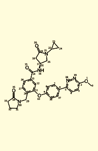 COc1ccc(-c2ccc(Oc3cc(C(=O)N[C@H]4CC(=O)N(C5CC5)C4)ccc3CN3CCCC3=O)cc2)nn1